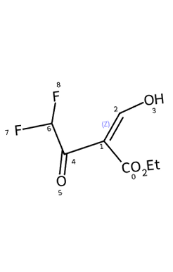 CCOC(=O)/C(=C\O)C(=O)C(F)F